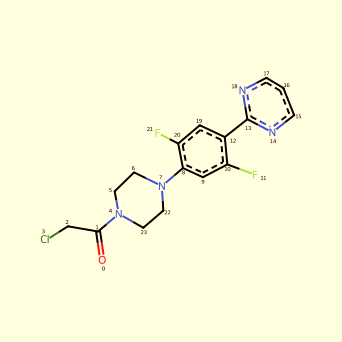 O=C(CCl)N1CCN(c2cc(F)c(-c3ncccn3)cc2F)CC1